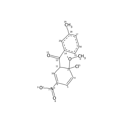 COC1(Cl)C=CC([N+](=O)[O-])=CC1C(=O)c1cccc(C)c1